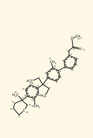 CCC(CC)(c1ccc(-c2cccc(CC(=O)OC)c2)c(C)c1)c1ccc(C2(C)CCCCC2)c(C)c1